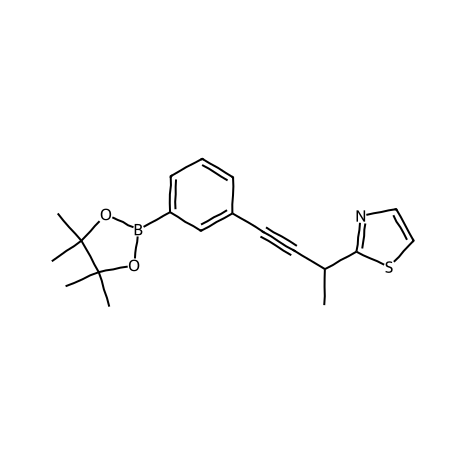 CC(C#Cc1cccc(B2OC(C)(C)C(C)(C)O2)c1)c1nccs1